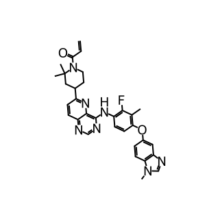 C=CC(=O)N1CCC(c2ccc3ncnc(Nc4ccc(Oc5ccc6c(c5)ncn6C)c(C)c4F)c3n2)CC1(C)C